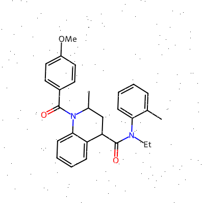 CCN(C(=O)C1CC(C)N(C(=O)c2ccc(OC)cc2)c2ccccc21)c1ccccc1C